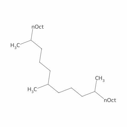 CCCCCCCCC(C)CCCC(C)CCCC(C)CCCCCCCC